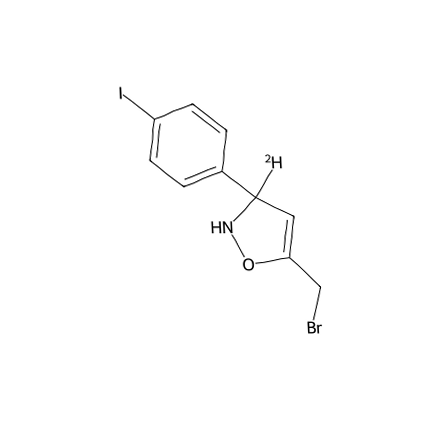 [2H]C1(c2ccc(I)cc2)C=C(CBr)ON1